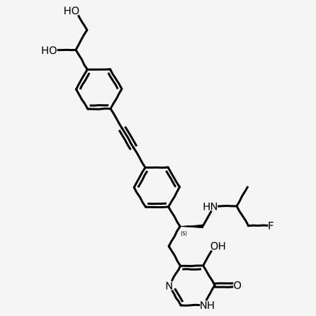 CC(CF)NC[C@@H](Cc1nc[nH]c(=O)c1O)c1ccc(C#Cc2ccc(C(O)CO)cc2)cc1